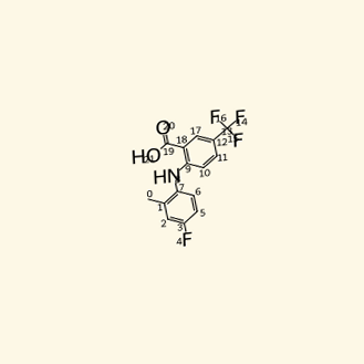 Cc1cc(F)ccc1Nc1ccc(C(F)(F)F)cc1C(=O)O